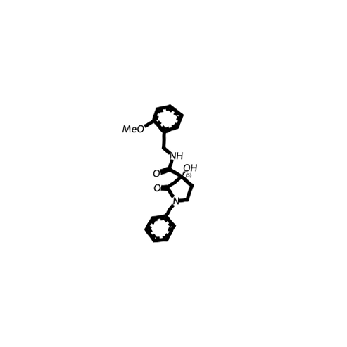 COc1ccccc1CNC(=O)[C@@]1(O)CCN(c2ccccc2)C1=O